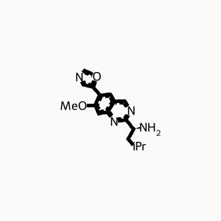 COc1cc2nc([C@H](N)CC(C)C)ncc2cc1-c1cnco1